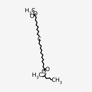 CCCCC(CC)COC(=O)CCCCCCCCCCCCCCCCCCCCCCC(=O)OC